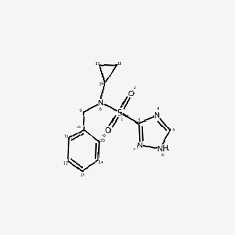 O=S(=O)(c1nc[nH]n1)N(Cc1ccccc1)C1CC1